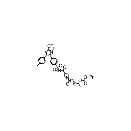 Cc1ccc(-c2cc(C(F)(F)F)nn2-c2ccc(S(=O)(=O)NC(=O)C3CN(/[N+]([O-])=N/OC(C)OC(=O)OC(C)C)C3)cc2)cc1